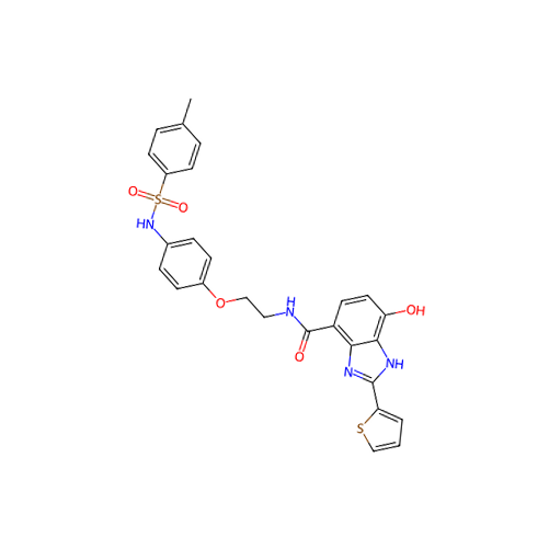 Cc1ccc(S(=O)(=O)Nc2ccc(OCCNC(=O)c3ccc(O)c4[nH]c(-c5cccs5)nc34)cc2)cc1